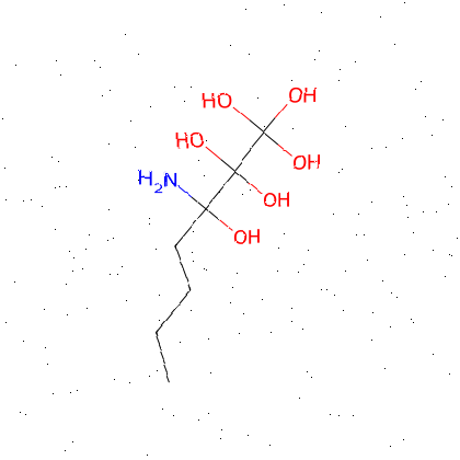 CCCCC(N)(O)C(O)(O)C(O)(O)O